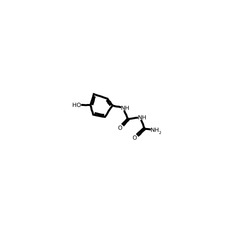 NC(=O)NC(=O)Nc1ccc(O)cc1